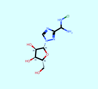 NC(NCl)c1ncn([C@@H]2O[C@H](CO)[C@@H](O)[C@H]2O)n1